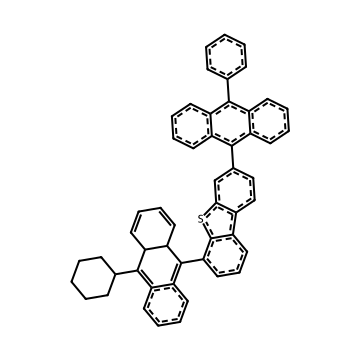 C1=CC2C(c3cccc4c3sc3cc(-c5c6ccccc6c(-c6ccccc6)c6ccccc56)ccc34)=c3ccccc3=C(C3CCCCC3)C2C=C1